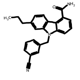 CCCc1c[c]c2c3c(C(N)=O)cccc3n(Cc3cccc(C#N)c3)c2c1